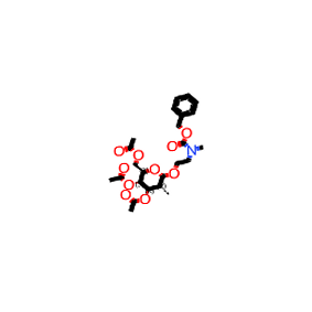 CC(=O)OC[C@H]1OC(OCCN(C)C(=O)OCc2ccccc2)[C@H](C)[C@@H](OC(C)=O)[C@@H]1OC(C)=O